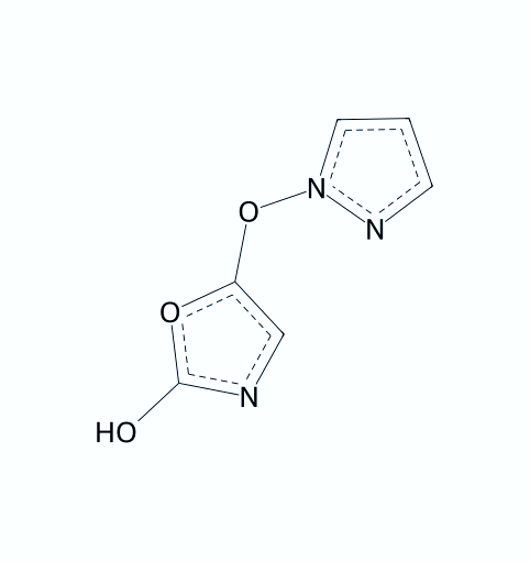 Oc1ncc(On2cccn2)o1